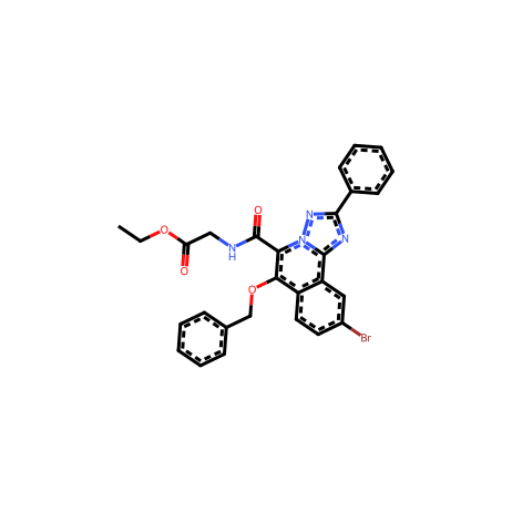 CCOC(=O)CNC(=O)c1c(OCc2ccccc2)c2ccc(Br)cc2c2nc(-c3ccccc3)nn12